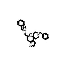 c1ccc(CNCC2Cc3sccc3C3(CCN(Cc4ccccc4)CC3)O2)cc1